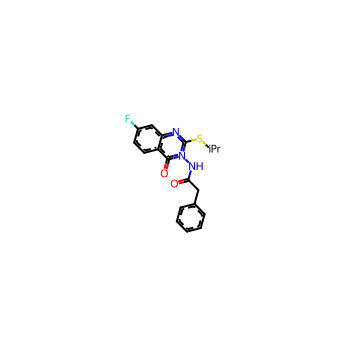 CC(C)Sc1nc2cc(F)ccc2c(=O)n1NC(=O)Cc1ccccc1